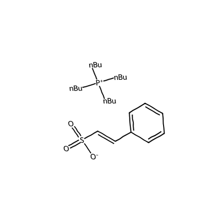 CCCC[P+](CCCC)(CCCC)CCCC.O=S(=O)([O-])C=Cc1ccccc1